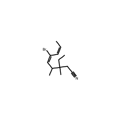 C/C=C\C(Br)=C/C(C)C(C)(CC)CC#N